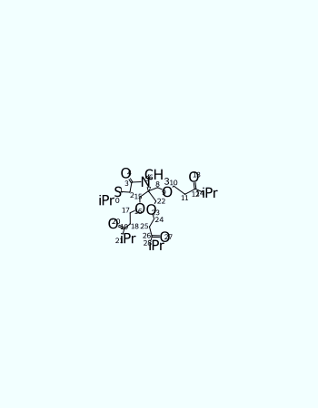 CC(C)SCC(=O)N(C)C(COCCC(=O)C(C)C)(COCCC(=O)C(C)C)COCCC(=O)C(C)C